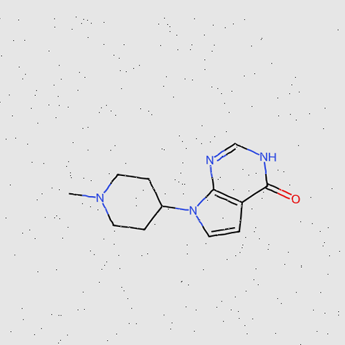 CN1CCC(n2ccc3c(=O)[nH]cnc32)CC1